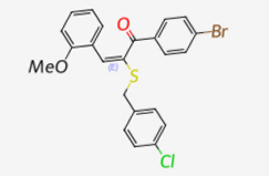 COc1ccccc1/C=C(/SCc1ccc(Cl)cc1)C(=O)c1ccc(Br)cc1